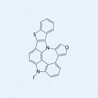 In1c2cccc3c4cocc4n4c5c6ccccc6sc5c5ccc1c(c32)c54